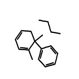 CC1=CC=CCC1(C)c1ccccc1.CCCC